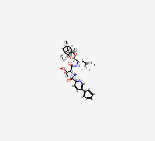 CC(C)C[C@H](NC(=O)[C@@H](NC(=O)c1ccc(-c2ccccc2)cn1)[C@@H](C)O)B1O[C@@H]2C[C@@H]3C[C@@H](C3(C)C)[C@]2(C)O1